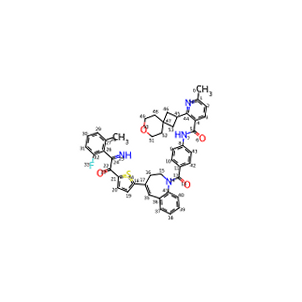 Cc1ccc(C(=O)Nc2ccc(C(=O)N3CCC(c4ccc(C(=O)C(=N)c5c(C)cccc5F)s4)=Cc4ccccc43)cc2)c(C2CC3(CCOCC3)C2)n1